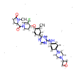 CN1C(=O)CCC1C(=O)N1CC[C@H](Oc2ccc(-c3ncnc(Nc4ccc(N5CCN(C6COC6)CC5)cc4)n3)cc2C#N)[C@H](F)C1